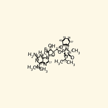 CC(C)OC(=O)[C@@H](C)N[P@](=S)(OC[C@H]1O[C@@H](n2cnc3c(N(C)C)nc(N)nc32)[C@](C)(F)[C@@H]1O)Oc1ccccc1